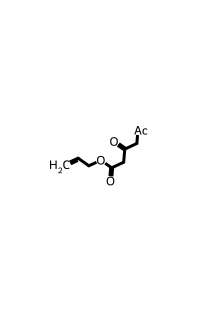 C=CCOC(=O)CC(=O)CC(C)=O